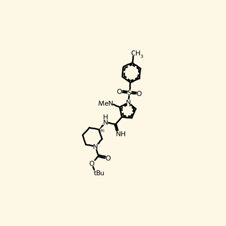 CNc1c(C(=N)N[C@@H]2CCCN(C(=O)OC(C)(C)C)C2)ccn1S(=O)(=O)c1ccc(C)cc1